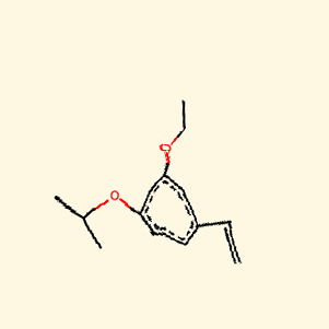 C=Cc1ccc(OC(C)C)c(OCC)c1